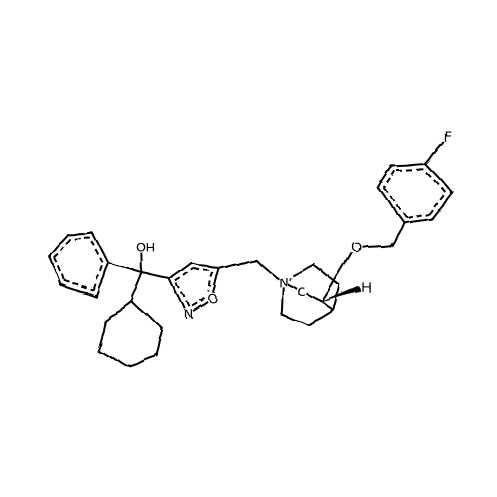 OC(c1ccccc1)(c1cc(C[N+]23CCC(CC2)[C@@H](OCc2ccc(F)cc2)C3)on1)C1CCCCC1